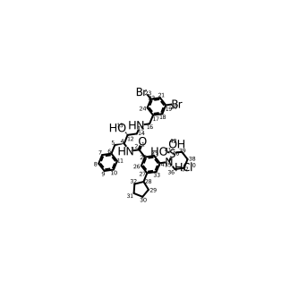 Cl.O=C(N[C@@H](Cc1ccccc1)[C@H](O)CNCc1cc(Br)cc(Br)c1)c1cc(C2CCCC2)cc(N2CCCCS2(O)O)c1